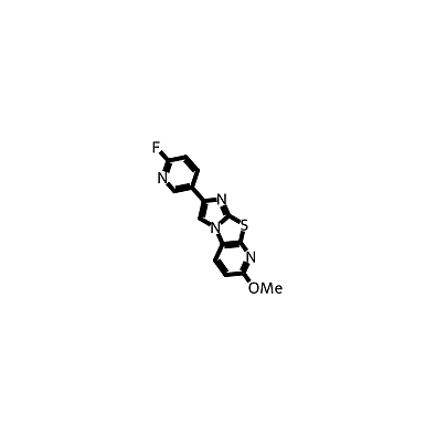 COc1ccc2c(n1)sc1nc(-c3ccc(F)nc3)cn12